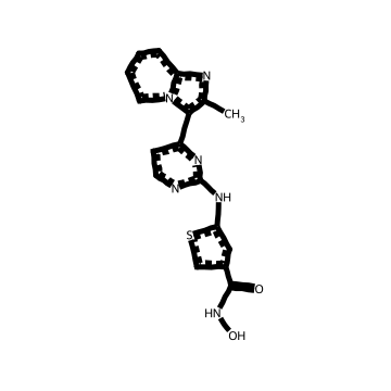 Cc1nc2ccccn2c1-c1ccnc(Nc2cc(C(=O)NO)cs2)n1